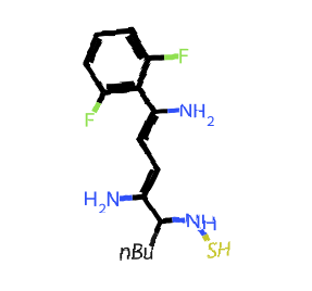 CCCCC(NS)/C(N)=C/C=C(\N)c1c(F)cccc1F